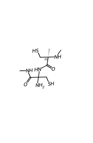 CNC(=O)C(N)(CS)NC(=O)[C@@](C)(CS)NC